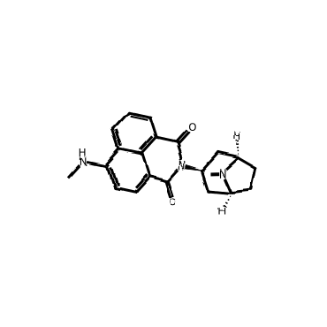 CNc1ccc2c3c(cccc13)C(=O)N([C@H]1C[C@H]3CC[C@@H](C1)N3C)C2=O